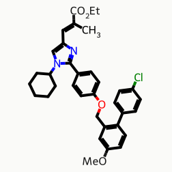 CCOC(=O)C(C)=Cc1cn(C2CCCCC2)c(-c2ccc(OCc3cc(OC)ccc3-c3ccc(Cl)cc3)cc2)n1